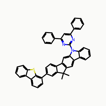 CC1(C)c2cc(-c3cccc4c3sc3ccccc34)ccc2-c2cc3c(cc21)c1ccccc1n3-c1nc(-c2ccccc2)cc(-c2ccccc2)n1